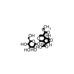 COC(=O)C1=CO[C@@H](O[C@@H]2O[C@H](CO)[C@@H](O)[C@H](O)[C@H]2O)[C@H]2[C@@H]1[C@@H]1O[C@@H]1[C@]21OC1O